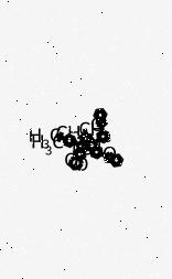 Cc1cc2c3c(c1)N(c1ccc(C(C)(C)C)cc1)c1cc4c(cc1B3c1ccc(-c3cc5ccccc5o3)cc1N2c1cccc(-c2cc3ccccc3o2)c1)OCCCO4